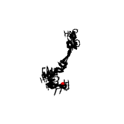 Cn1c(=O)n(C2CCC(=O)NC2=O)c2cccc(C#CCCN3CCN(CC4CCC(n5cc(NC(=O)c6cnn7ccc(C8C[C@H]9C[C@@H]8CO9)nc67)c(C(F)F)n5)CC4)CC3)c21